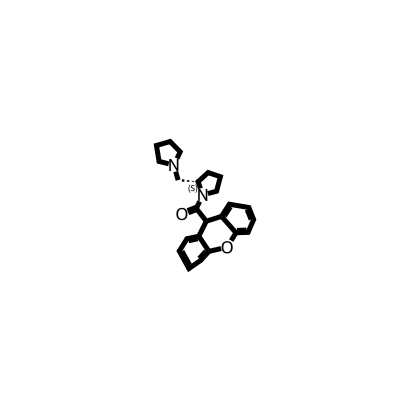 O=C(C1c2ccccc2Oc2ccccc21)N1CCC[C@H]1CN1CCCC1